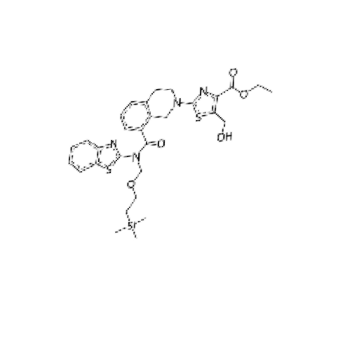 CCOC(=O)c1nc(N2CCc3cccc(C(=O)N(COCC[Si](C)(C)C)c4nc5ccccc5s4)c3C2)sc1CO